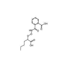 CCCCC(OONC(=O)c1ccccc1C(=O)O)C(=O)O